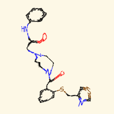 O=C(CN1CCN(C(=O)c2ccccc2SCc2cscn2)CC1)Nc1ccccc1